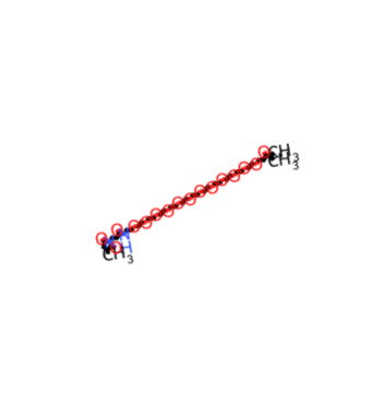 CC(C)C(=O)CCOCCOCCOCCOCCOCCOCCOCCOCCOCCOCCOCCOCCNC(=O)CCN1C(=O)CC(C)C1=O